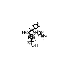 Cc1c(-c2ccccc2)c(N2CC[C@H](N(C)C)C2)n2nc(C(C)(C)CO)nc2c1C#N